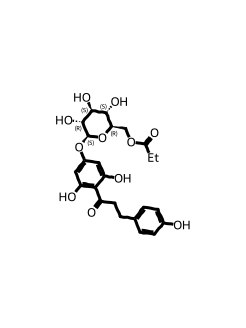 CCC(=O)OC[C@H]1O[C@@H](Oc2cc(O)c(C(=O)CCc3ccc(O)cc3)c(O)c2)[C@H](O)[C@@H](O)[C@@H]1O